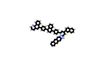 c1ccc2cc3cc4c(cc3cc2c1)nc1c2sc3c5ccccc5ccc3c2cc(-c2ccc(-c3ccc(-c5ccc(-c6cc7cccnc7c7ccccc67)cc5)c5ccccc35)cc2)n41